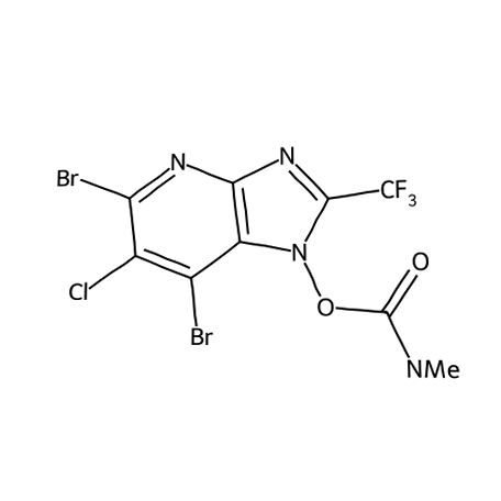 CNC(=O)On1c(C(F)(F)F)nc2nc(Br)c(Cl)c(Br)c21